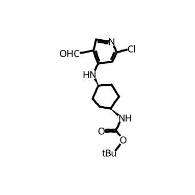 CC(C)(C)OC(=O)N[C@H]1CC[C@@H](Nc2cc(Cl)ncc2C=O)CC1